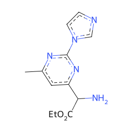 CCOC(=O)C(N)c1cc(C)nc(-n2ccnc2)n1